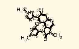 CCc1cc2ncc3c(c2cc1-c1cnn(C)n1)n(-c1cn(C)nc1C)c(=O)n3C